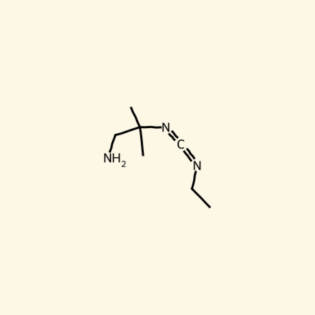 CCN=C=NC(C)(C)CN